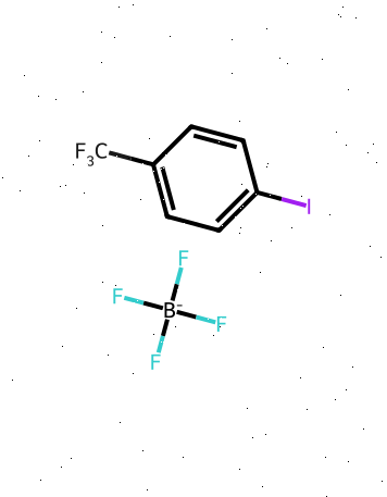 FC(F)(F)c1ccc(I)cc1.F[B-](F)(F)F